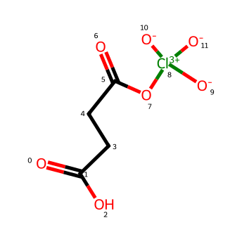 O=C(O)CCC(=O)O[Cl+3]([O-])([O-])[O-]